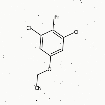 CC(C)c1c(Cl)cc(OCC#N)cc1Cl